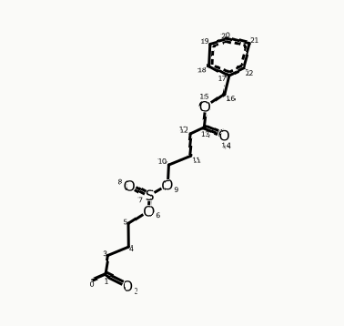 CC(=O)CCCOS(=O)OCCCC(=O)OCc1ccccc1